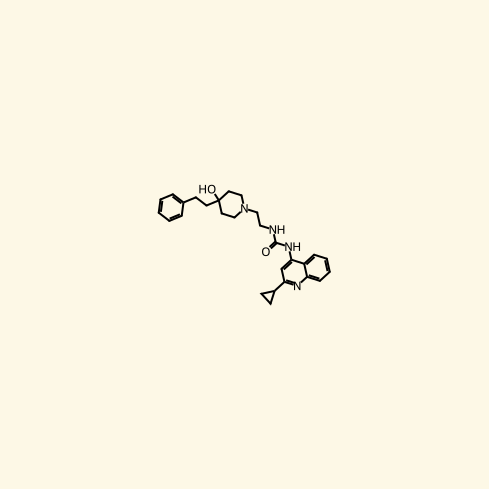 O=C(NCCN1CCC(O)(CCc2ccccc2)CC1)Nc1cc(C2CC2)nc2ccccc12